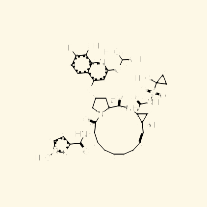 Cc1c(F)ccc2c(O[C@@H]3C[C@H]4C(=O)N[C@]5(C(=O)NS(=O)(=O)C6(C)CC6)C[C@H]5/C=C\CCCCC[C@H](NC(=O)c5ccn(C)n5)C(=O)N4C3)cc(OC(C)C)nc12